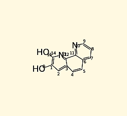 Oc1cc2ccc3cccnc3c2nc1O